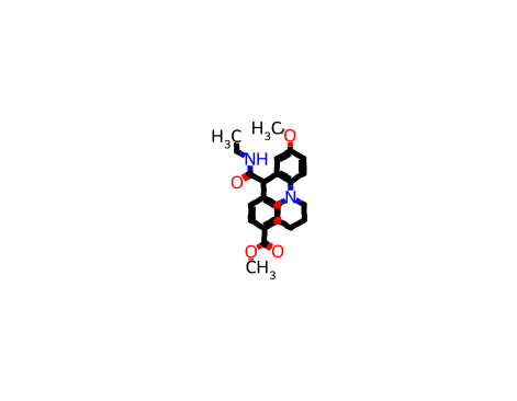 CCNC(=O)C(c1ccc(C(=O)OC)cc1)c1cc(OC)ccc1N1CCCCC1